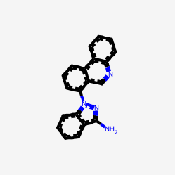 Nc1nn(-c2cccc3c2cnc2ccccc23)c2ccccc12